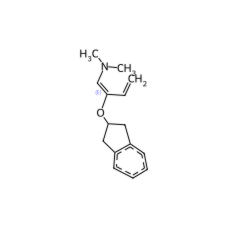 C=C/C(=C\N(C)C)OC1Cc2ccccc2C1